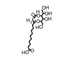 C1CO1.CCCCCCCCCCCC(=O)O.OCC(O)C(O)C(O)C(O)CO